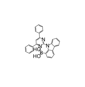 OB(O)c1cccc2c3ccccc3n(-c3nc(-c4ccccc4)cc(-c4ccccc4)n3)c12